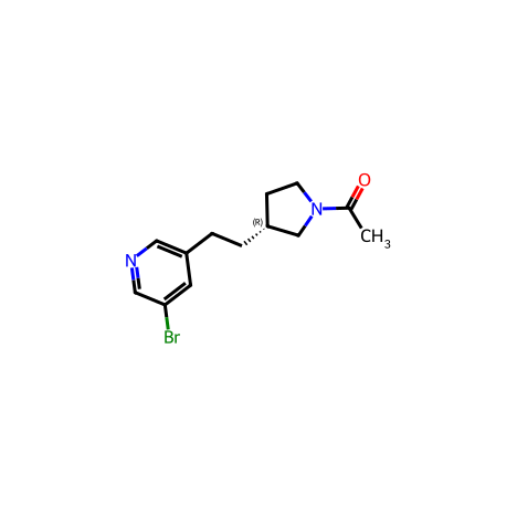 CC(=O)N1CC[C@@H](CCc2cncc(Br)c2)C1